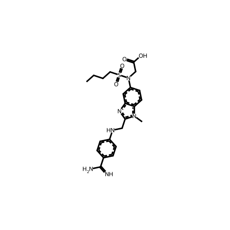 CCCCS(=O)(=O)N(CC(=O)O)c1ccc2c(c1)nc(CNc1ccc(C(=N)N)cc1)n2C